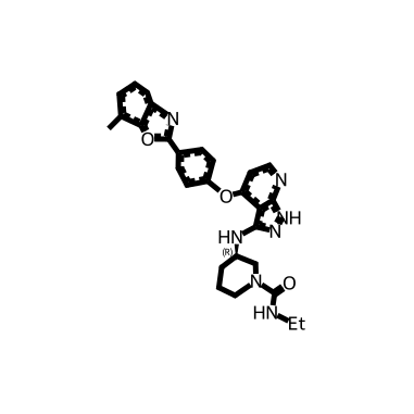 CCNC(=O)N1CCC[C@@H](Nc2n[nH]c3nccc(Oc4ccc(-c5nc6cccc(C)c6o5)cc4)c23)C1